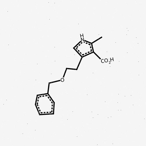 Cc1[nH]cc(CCOCc2ccccc2)c1C(=O)O